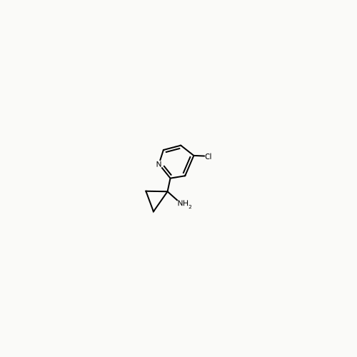 NC1(c2cc(Cl)ccn2)CC1